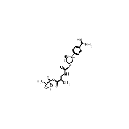 CN(C)S(=O)(=O)OC(=O)C(N)CNC(=O)C[C@H]1C[C@@H](c2ccc(C(=N)N)cc2)NO1